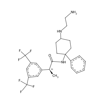 C[C@H](C(=O)NC1(c2ccccc2)CCC(NCCN)CC1)c1cc(C(F)(F)F)cc(C(F)(F)F)c1